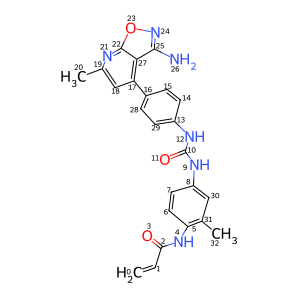 C=CC(=O)Nc1ccc(NC(=O)Nc2ccc(-c3cc(C)nc4onc(N)c34)cc2)cc1C